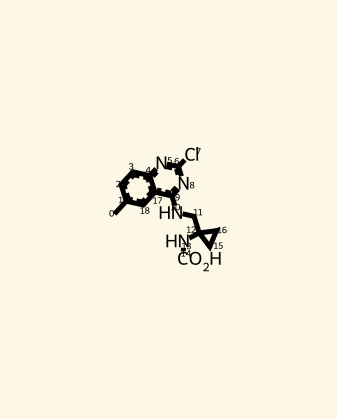 Cc1ccc2nc(Cl)nc(NCC3(NC(=O)O)CC3)c2c1